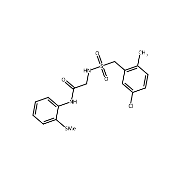 CSc1ccccc1NC(=O)CNS(=O)(=O)Cc1cc(Cl)ccc1C